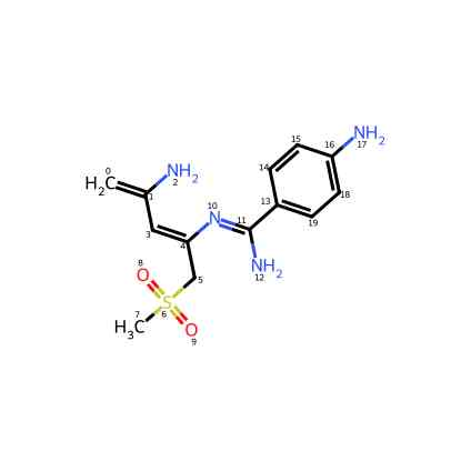 C=C(N)/C=C(CS(C)(=O)=O)\N=C(/N)c1ccc(N)cc1